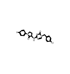 O=C1C(Nc2ncn(Cc3ccc(Cl)cc3)c(=O)n2)CCN1c1ccc(F)cc1